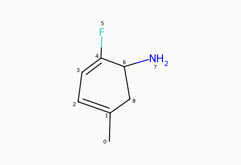 CC1=CC=C(F)C(N)C1